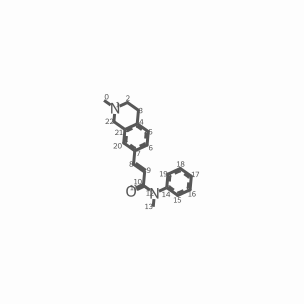 CN1CCc2ccc(/C=C/C(=O)N(C)c3ccccc3)cc2C1